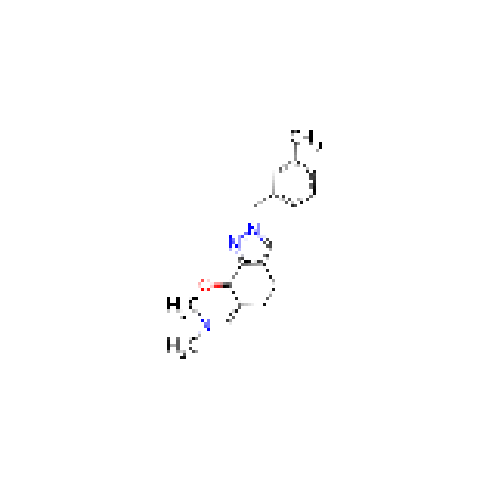 Cc1cccc(Cn2cc3c(n2)C(=O)C(=CN(C)C)CC3)c1